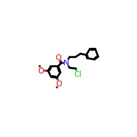 COc1cc(OC)cc(C(=O)N(CCCl)CCCc2ccccc2)c1